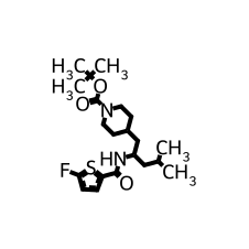 CC(C)CC(CC1CCN(C(=O)OC(C)(C)C)CC1)NC(=O)c1ccc(F)s1